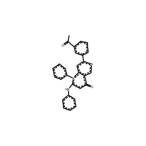 CC(=O)c1cccc(-c2cc3c(cn2)c(=O)cc(Nc2ccccc2)n3-c2ccccc2)c1